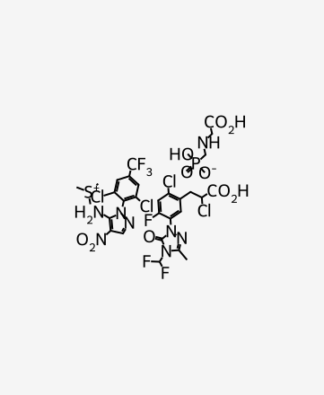 C[S+](C)C.Cc1nn(-c2cc(CC(Cl)C(=O)O)c(Cl)cc2F)c(=O)n1C(F)F.Nc1c([N+](=O)[O-])cnn1-c1c(Cl)cc(C(F)(F)F)cc1Cl.O=C(O)CNCP(=O)([O-])O